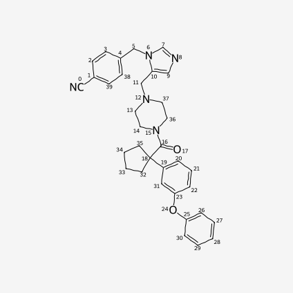 N#Cc1ccc(Cn2cncc2CN2CCN(C(=O)C3(c4cccc(Oc5ccccc5)c4)CCCC3)CC2)cc1